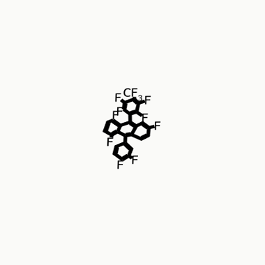 Fc1ccc2c(-c3ccc(F)c(F)c3)c3c(F)ccc(F)c3c(-c3c(F)c(F)c(C(F)(F)F)c(F)c3F)c2c1